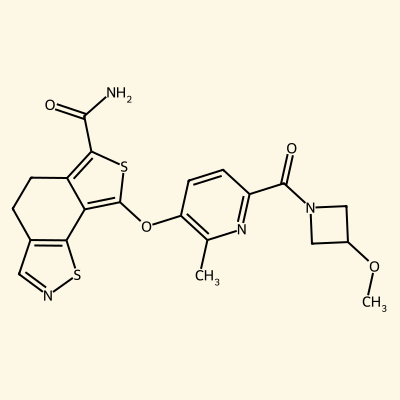 COC1CN(C(=O)c2ccc(Oc3sc(C(N)=O)c4c3-c3sncc3CC4)c(C)n2)C1